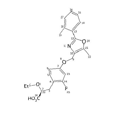 CCO[C@@H](Cc1ccc(OCc2nc(-c3ccccc3C)oc2C)cc1F)C(=O)O